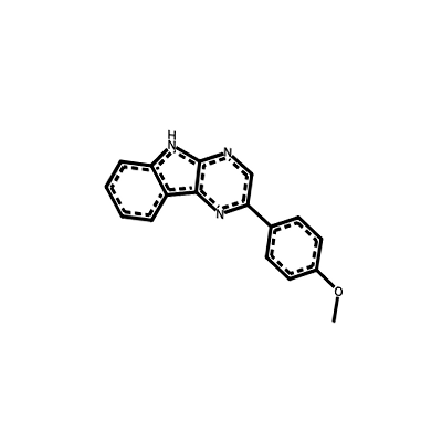 COc1ccc(-c2cnc3[nH]c4ccccc4c3n2)cc1